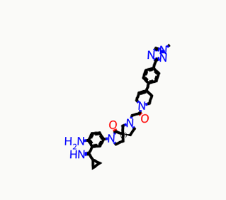 Cn1cnc(-c2ccc(C3=CCN(C(=O)CN4CC[C@]5(CCN(c6ccc(N)c(C(=N)C7CC7)c6)C5=O)C4)CC3)cc2)n1